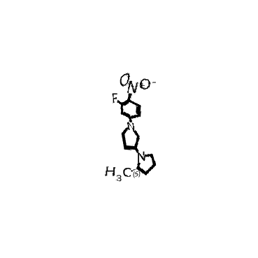 C[C@H]1CCCN1C1CCN(c2ccc([N+](=O)[O-])c(F)c2)C1